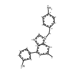 Cc1nc(-c2cccc(C#N)c2)c2ncn(Cc3ccc(N)cc3)c2n1